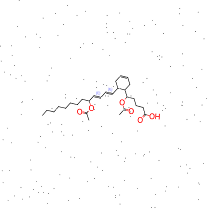 CCCCCCCCC(/C=C/C=C/C1CC=CCC1C(CCCC(=O)O)OC(C)=O)OC(C)=O